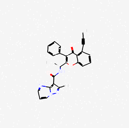 CC#Cc1cccc2oc([C@H](C)NC(=O)c3c(C)nn4cccnc34)c(-c3ccccc3)c(=O)c12